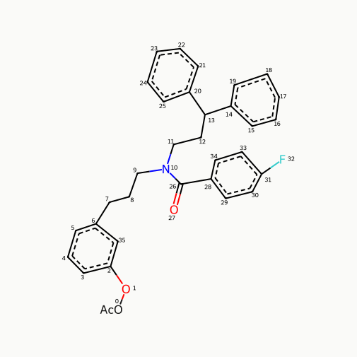 CC(=O)OOc1cccc(CCCN(CCC(c2ccccc2)c2ccccc2)C(=O)c2ccc(F)cc2)c1